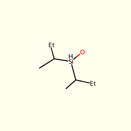 CCC(C)[SiH]([O])C(C)CC